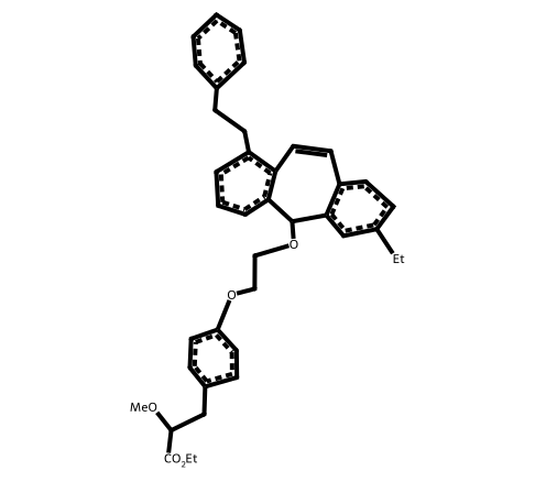 CCOC(=O)C(Cc1ccc(OCCOC2c3cc(CC)ccc3C=Cc3c(CCc4ccccc4)cccc32)cc1)OC